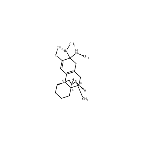 CNC1(NC)CC2=C(C=C1OC)[C@@]13CCCC[C@@H]1[C@@H](C2)N(C)CC3